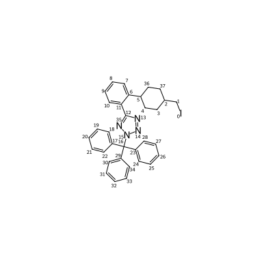 ICC1CCC(c2ccccc2-c2nnn(C(c3ccccc3)(c3ccccc3)c3ccccc3)n2)CC1